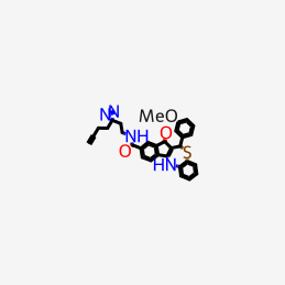 C#CCCC1(CCNC(=O)c2ccc3c(c2)C(=O)C2=C3Nc3ccccc3SC2c2cccc(OC)c2)N=N1